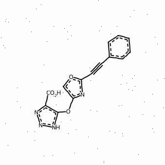 O=C(O)c1nn[nH]c1Oc1coc(C#Cc2ccccc2)n1